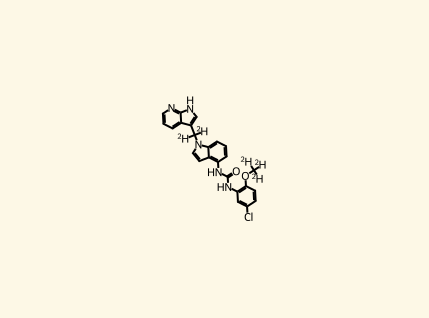 [2H]C([2H])([2H])Oc1ccc(Cl)cc1NC(=O)Nc1cccc2c1ccn2C([2H])([2H])c1c[nH]c2ncccc12